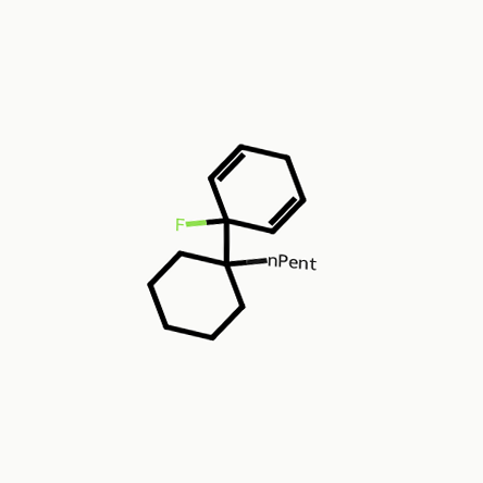 CCCCCC1(C2(F)C=CCC=C2)CCCCC1